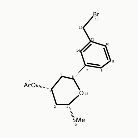 CS[C@@H]1C[C@H](OC(C)=O)C[C@H](c2cccc(CBr)c2)O1